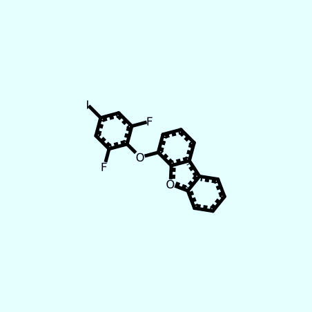 Fc1cc(I)cc(F)c1Oc1cccc2c1oc1ccccc12